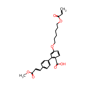 C=CC(=O)OCCCCCCOc1ccc(C(=O)O)c(-c2ccc(/C=C/C(=O)OC)cc2)c1